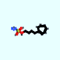 NS(=O)(=O)OCCCCC1=CC=CC=CC1